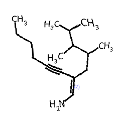 CCCCC#C/C(=C\N)CC(C)C(C)C(C)C